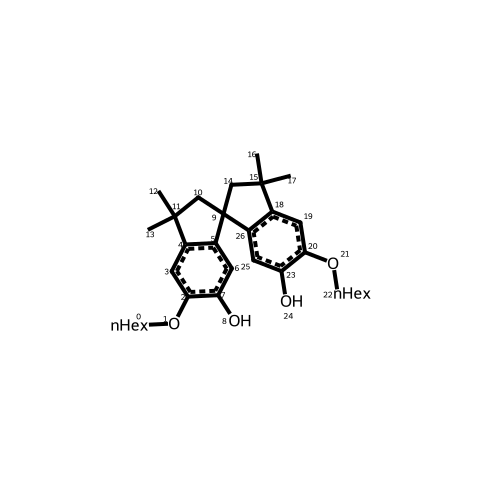 CCCCCCOc1cc2c(cc1O)C1(CC2(C)C)CC(C)(C)c2cc(OCCCCCC)c(O)cc21